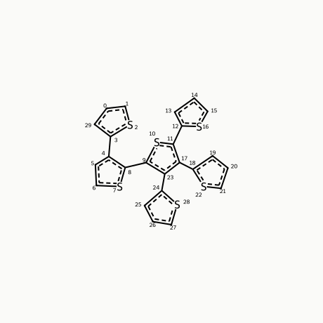 c1csc(-c2ccsc2-c2sc(-c3cccs3)c(-c3cccs3)c2-c2cccs2)c1